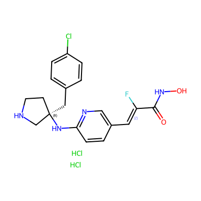 Cl.Cl.O=C(NO)/C(F)=C/c1ccc(N[C@]2(Cc3ccc(Cl)cc3)CCNC2)nc1